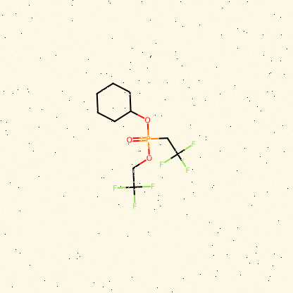 O=P(CC(F)(F)F)(OCC(F)(F)F)OC1CCCCC1